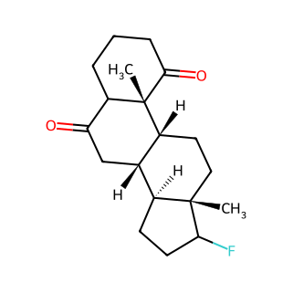 C[C@]12C(=O)CCCC1C(=O)C[C@@H]1[C@H]2CC[C@]2(C)C(F)CC[C@@H]12